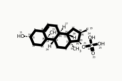 C[C@]12CC[C@H]3[C@@H](CC=C4C[C@@H](O)CC[C@@]43C)[C@@H]1C[C@@H](F)[C@@H]2OP(=O)(O)O